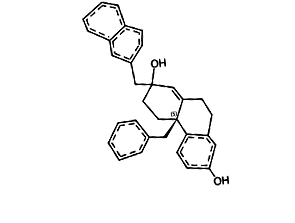 Oc1ccc2c(c1)CCC1=CC(O)(Cc3ccc4ccccc4c3)CC[C@]12Cc1ccccc1